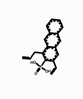 C=CCc1c(P(=O)(O)O)c(C=C)cc2cc3ccccc3cc12